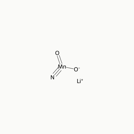 [Li+].[N]#[Mn](=[O])[O-]